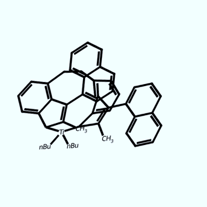 CCC[CH2][Ti]1([CH2]CCC)[CH]2C(C)=C(c3cccc4ccccc34)c3c(cccc32)CCc2cccc3c2C(c2cccc4ccccc24)=C(C)[CH]31